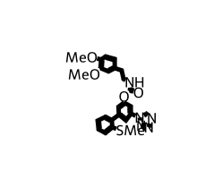 COc1ccc(CCNC(=O)Oc2cc(-c3ccccc3SC)cc(-n3cnnn3)c2)cc1OC